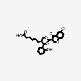 O=C(O)CCC=CCC1COC(c2coc3ccc(Cl)cc3c2=O)OC1c1ccccc1O